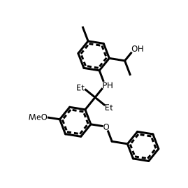 CCC(CC)(Pc1ccc(C)cc1C(C)O)c1cc(OC)ccc1OCc1ccccc1